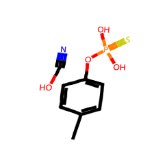 Cc1ccc(OP(O)(O)=S)cc1.N#CO